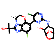 C[C@@H]1COc2c(-c3nc(NC4CC5COC(O5)C4O)ncc3Cl)cc(F)c3nc(C(C)(C)O)n1c23